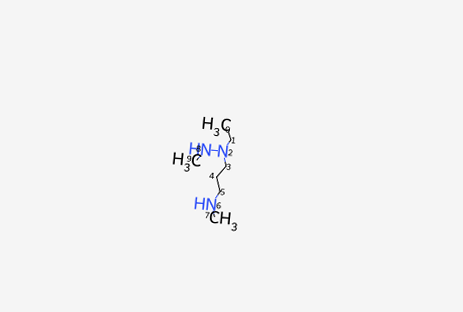 CCN(CCCNC)NC